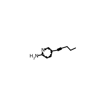 CCCC#Cc1ccc(N)nc1